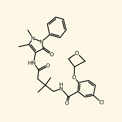 Cc1c(NC(=O)CC(C)(C)CNC(=O)c2cc(Cl)ccc2OC2COC2)c(=O)n(-c2ccccc2)n1C